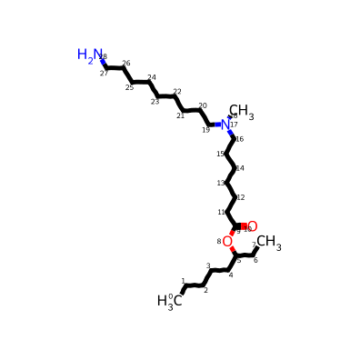 CCCCCC(CC)OC(=O)CCCCCCN(C)CCCCCCCCCN